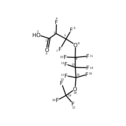 O=C(O)C(F)C(F)(F)OC(F)(F)C(F)(F)C(F)(F)OC(F)(F)F